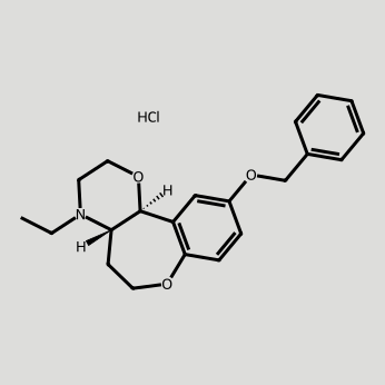 CCN1CCO[C@H]2c3cc(OCc4ccccc4)ccc3OCC[C@@H]21.Cl